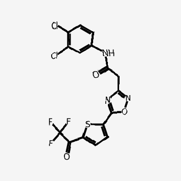 O=C(Cc1noc(-c2ccc(C(=O)C(F)(F)F)s2)n1)Nc1ccc(Cl)c(Cl)c1